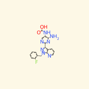 Nc1nc(-c2nn(Cc3ccccc3F)c3ncccc23)ncc1NC(=O)O